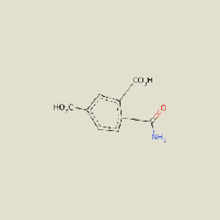 NC(=O)c1ccc(C(=O)O)cc1C(=O)O